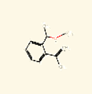 C=C(C)c1ccccc1C(C)O[SiH3]